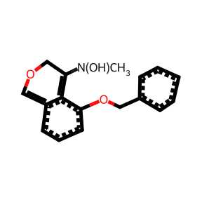 CN(O)C1=c2c(OCc3ccccc3)cccc2=COC1